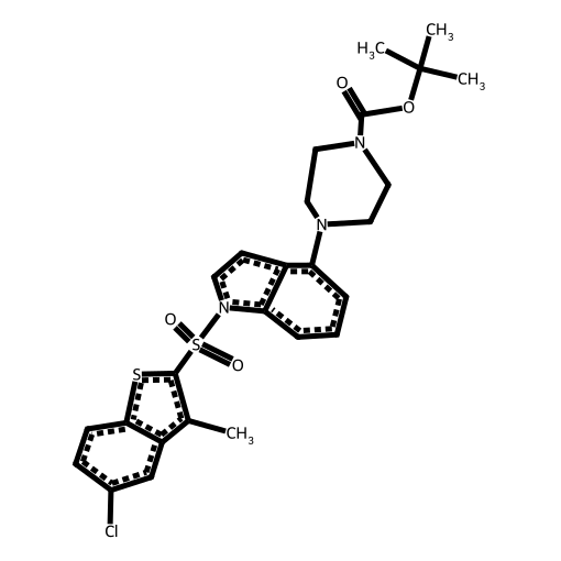 Cc1c(S(=O)(=O)n2ccc3c(N4CCN(C(=O)OC(C)(C)C)CC4)cccc32)sc2ccc(Cl)cc12